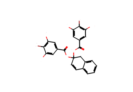 O=C(OC1(OC(=O)c2cc(O)c(Br)c(O)c2)C=Cc2ccccc2C1)c1cc(O)c(Br)c(O)c1